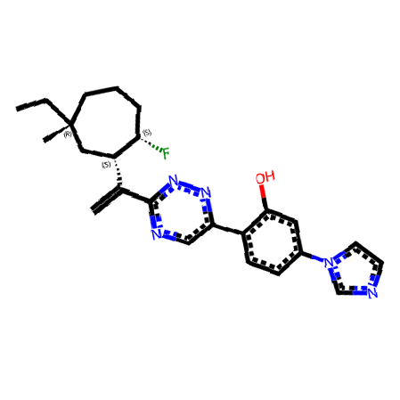 C=C(c1ncc(-c2ccc(-n3ccnc3)cc2O)nn1)[C@@H]1C[C@](C)(CC)CCC[C@@H]1F